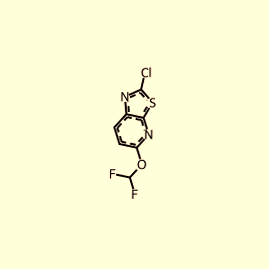 FC(F)Oc1ccc2nc(Cl)sc2n1